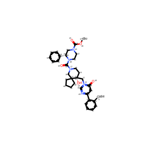 COc1ccccc1-c1cc(=O)n(C[C@]2(O)CCN(C(=O)N3CCN(C(=O)OC(C)(C)C)C[C@H]3c3ccccc3)CC23CCCC3)cn1